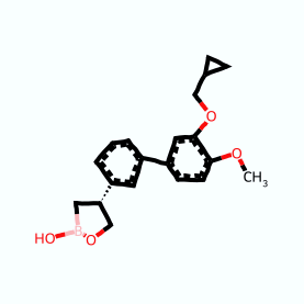 COc1ccc(-c2cccc([C@@H]3COB(O)C3)c2)cc1OCC1CC1